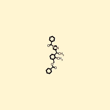 Cc1c(COC(=O)c2ccccc2)cccc1C(C)c1cn(C(=O)c2ccccc2)cn1